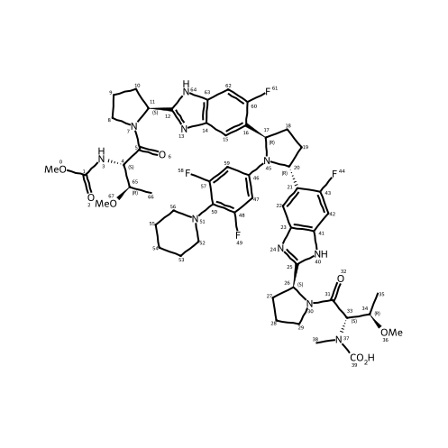 COC(=O)N[C@H](C(=O)N1CCC[C@H]1c1nc2cc([C@H]3CC[C@H](c4cc5nc([C@@H]6CCCN6C(=O)[C@H]([C@@H](C)OC)N(C)C(=O)O)[nH]c5cc4F)N3c3cc(F)c(N4CCCCC4)c(F)c3)c(F)cc2[nH]1)[C@@H](C)OC